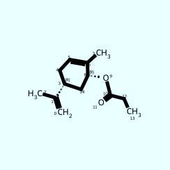 C=C(C)[C@@H]1CC=C(C)[C@H](OC(=O)CC)C1